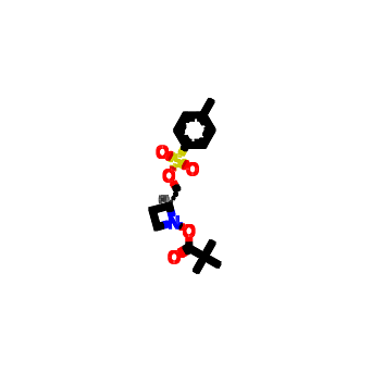 Cc1ccc(S(=O)(=O)OC[C@H]2CCN2OC(=O)C(C)(C)C)cc1